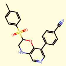 Cc1ccc(S(=O)(=O)C2CNc3cncc(-c4ccc(C#N)cc4)c3O2)cc1